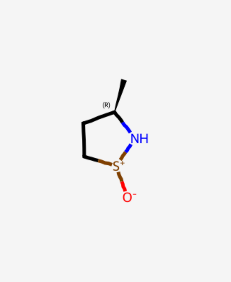 C[C@@H]1CC[S+]([O-])N1